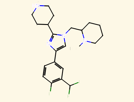 CN1CCCCC1Cn1cc(-c2ccc(F)c(C(F)F)c2)nc1C1CCNCC1